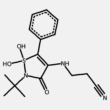 CC(C)(C)N1C(=O)C(NCCC#N)=C(c2ccccc2)S1(O)O